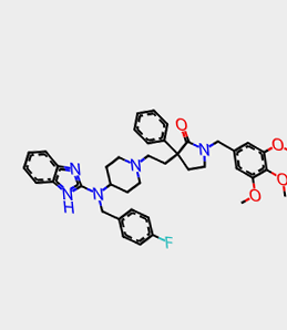 COc1cc(CN2CCC(CCN3CCC(N(Cc4ccc(F)cc4)c4nc5ccccc5[nH]4)CC3)(c3ccccc3)C2=O)cc(OC)c1OC